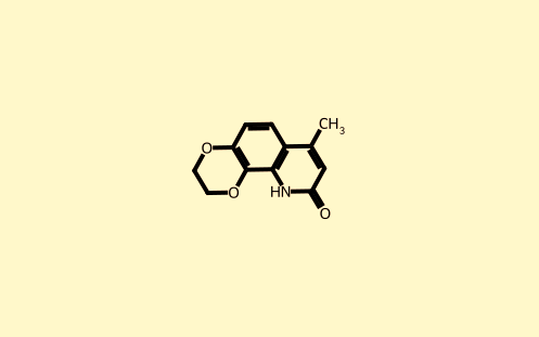 Cc1cc(=O)[nH]c2c3c(ccc12)OCCO3